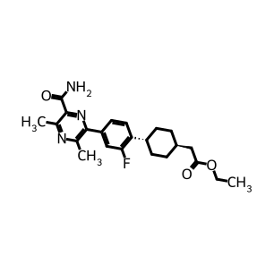 CCOC(=O)C[C@H]1CC[C@H](c2ccc(-c3nc(C(N)=O)c(C)nc3C)cc2F)CC1